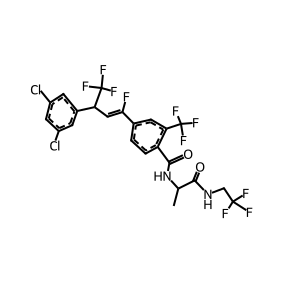 CC(NC(=O)c1ccc(/C(F)=C/C(c2cc(Cl)cc(Cl)c2)C(F)(F)F)cc1C(F)(F)F)C(=O)NCC(F)(F)F